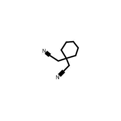 N#CCC1(CC#N)CCCCC1